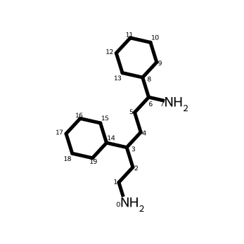 NCCC(CCC(N)C1CCCCC1)C1CCCCC1